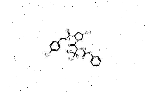 Cc1ccc(CNC(=O)[C@@H]2C[C@@H](O)CN2C(=O)[C@@H](NC(=O)Oc2ccccc2)C(C)(C)C)cc1